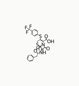 O=C(Cc1ccccc1)N[C@@H]1C(=O)N2C(C(=O)O)=C(Sc3ccc(C(F)(F)F)cc3)CS[C@@H]12